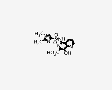 Cc1nc(S(=O)(=O)Nc2nc(C(=O)O)c(O)c3ncccc23)cn1C